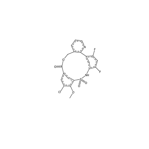 COc1c(Cl)cc2cc1S(=O)(=O)Nc1cc(c(F)cc1F)-c1ncccc1COC2=O